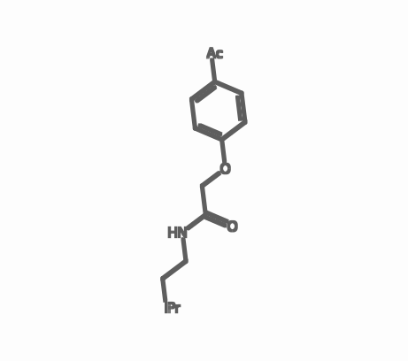 CC(=O)c1ccc(OCC(=O)NCCC(C)C)cc1